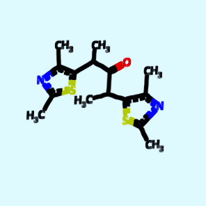 Cc1nc(C)c(C(C)C(=O)C(C)c2sc(C)nc2C)s1